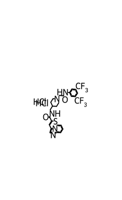 Cl.Cl.O=C(CN1CCC(CNC(=O)C2=Cc3cnc4cccc(n34)S2)CC1)Nc1cc(C(F)(F)F)cc(C(F)(F)F)c1